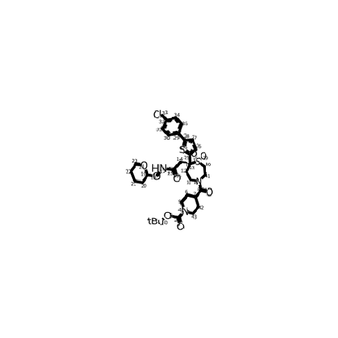 CC(C)(C)OC(=O)N1CCC(C(=O)N2CC[C@](CC(=O)NOC3CCCCO3)(c3ccc(-c4ccc(Cl)cc4)s3)S(=O)(=O)CC2)CC1